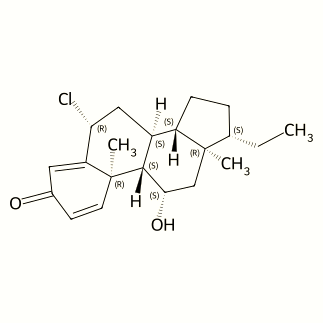 CC[C@H]1CC[C@H]2[C@@H]3C[C@@H](Cl)C4=CC(=O)C=C[C@]4(C)[C@H]3[C@@H](O)C[C@]12C